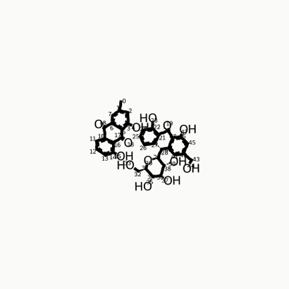 Cc1cc(O)c2c(c1)C(=O)c1cccc(O)c1C2=O.O=C1c2c(O)cccc2[C@@H]([C@@H]2O[C@H](CO)[C@@H](O)[C@H](O)[C@H]2O)c2cc(CO)cc(O)c21